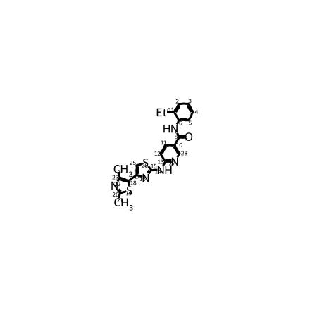 CCc1ccccc1NC(=O)c1ccc(Nc2nc(-c3sc(C)nc3C)cs2)nc1